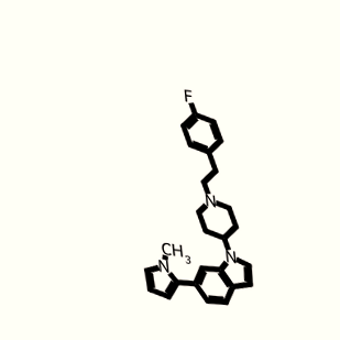 Cn1cccc1-c1ccc2ccn(C3CCN(CCc4ccc(F)cc4)CC3)c2c1